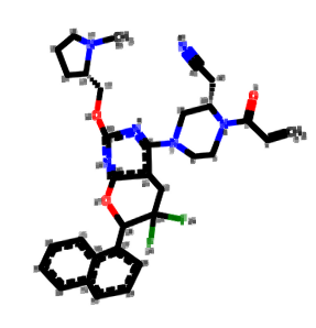 C=CC(=O)N1CCN(c2nc(OC[C@@H]3CCCN3C)nc3c2CC(F)(F)C(c2cccc4ccccc24)O3)C[C@@H]1CC#N